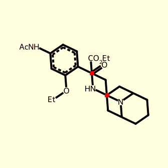 CCOC(=O)CCCN1C2CCCC1CC(NC(=O)c1ccc(NC(C)=O)cc1OCC)C2